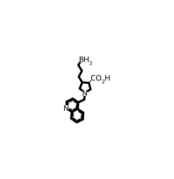 BCCCC1CN(Cc2ccnc3ccccc23)C[C@H]1C(=O)O